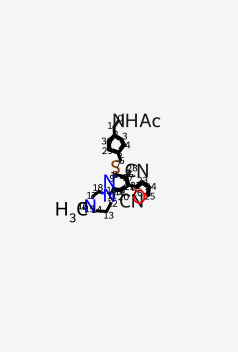 CC(=O)NCc1ccc(CSc2nc(N3CCCN(C)CC3)c(C#N)c(-c3ccco3)c2C#N)cc1